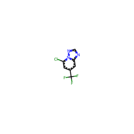 FC(F)(F)c1cc(Cl)n2ncnc2c1